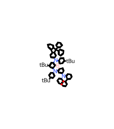 CC(C)(C)c1ccc(N2c3cc(N(c4ccccc4)c4ccccc4-c4ccccc4)ccc3B3c4cc(C(C)(C)C)ccc4N(c4ccc5c(c4)C(c4ccccc4)(c4ccccc4)c4ccccc4-5)c4cc(C(C)(C)C)cc2c43)cc1